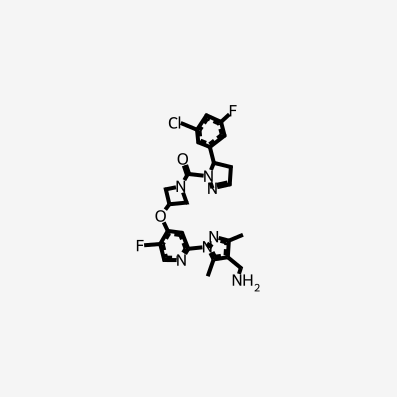 Cc1nn(-c2cc(OC3CN(C(=O)N4N=CCC4c4cc(F)cc(Cl)c4)C3)c(F)cn2)c(C)c1CN